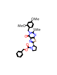 COc1ccc(Cn2c(SC)nc3sc([C@H]4CCCN4C(=O)OCc4ccccc4)nc3c2=O)c(OC)c1